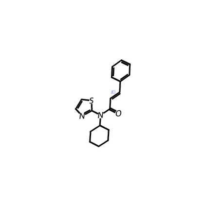 O=C(/C=C/c1ccccc1)N(c1nccs1)C1CCCCC1